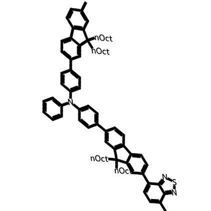 CCCCCCCCC1(CCCCCCCC)c2cc(C)ccc2-c2ccc(-c3ccc(N(c4ccccc4)c4ccc(-c5ccc6c(c5)C(CCCCCCCC)(CCCCCCCC)c5cc(-c7ccc(C)c8nsnc78)ccc5-6)cc4)cc3)cc21